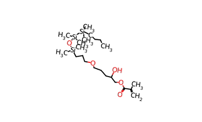 C=C(C)C(=O)OCC(O)CCCOCCC[Si](C)(C)O[Si](C)(C)C[Si](C)(C)CCCC